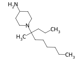 CCCCCCC(C)(CCC)N1CCC(N)CC1